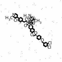 Cc1nc(N)sc1S(=O)(=O)N1Cc2cc3c(cc2C[C@H]1C(=O)N[C@@H](Cc1ccc(-c2ccnc(C)c2C)cc1)C(=O)O)OC[C@H](c1ccc(OCc2ccc(Cl)c(Cl)c2)cc1)O3